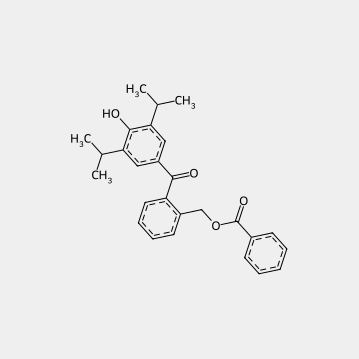 CC(C)c1cc(C(=O)c2ccccc2COC(=O)c2ccccc2)cc(C(C)C)c1O